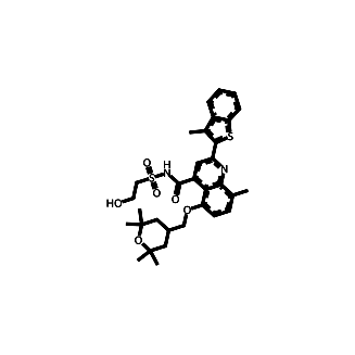 Cc1c(-c2cc(C(=O)NS(=O)(=O)CCO)c3c(OCC4CC(C)(C)OC(C)(C)C4)ccc(C)c3n2)sc2ccccc12